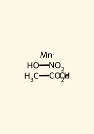 CC(=O)O.O=[N+]([O-])O.[Ce].[Mn]